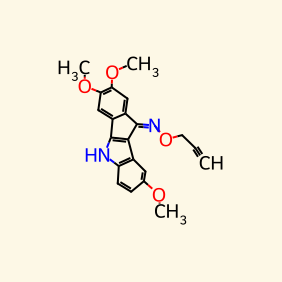 C#CCO/N=C1/c2cc(OC)c(OC)cc2-c2[nH]c3ccc(OC)cc3c21